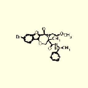 COCCN1C(=O)c2oc3cc(Br)ccc3c2OCC1(C)C(=O)N[C@@H](C)c1ccccc1